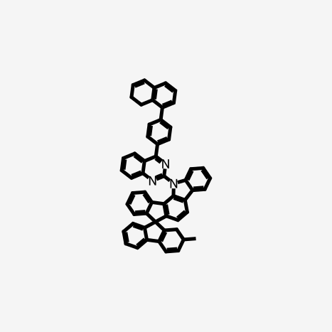 CC1C=CC2=C(C1)C1(c3ccccc32)c2ccccc2-c2c1ccc1c3ccccc3n(-c3nc(-c4ccc(-c5cccc6c5CCC=C6)cc4)c4ccccc4n3)c21